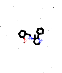 COc1ccccc1CNC1(C)CCCNC1c1ccccc1